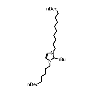 CCCCCCCCCCCCCCCCCCCN1C=CN(CCCCCCCCCCCCCCC)C1CCCC